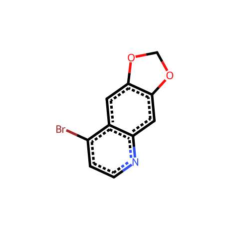 Brc1ccnc2cc3c(cc12)OCO3